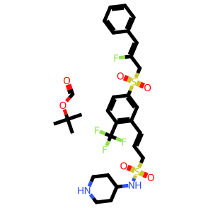 CC(C)(C)OC=O.O=S(=O)(CC=Cc1cc(S(=O)(=O)CC(F)=Cc2ccccc2)ccc1C(F)(F)F)NC1CCNCC1